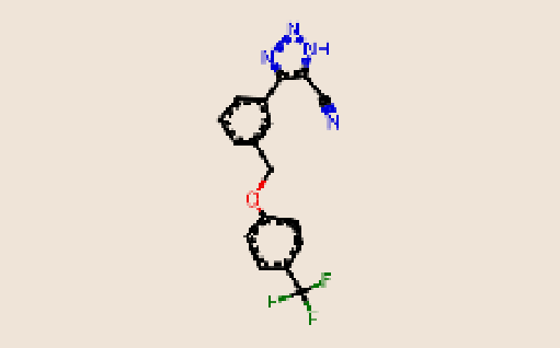 N#Cc1[nH]nnc1-c1cccc(COc2ccc(C(F)(F)F)cc2)c1